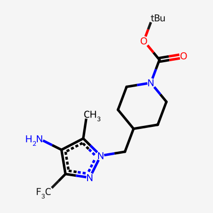 Cc1c(N)c(C(F)(F)F)nn1CC1CCN(C(=O)OC(C)(C)C)CC1